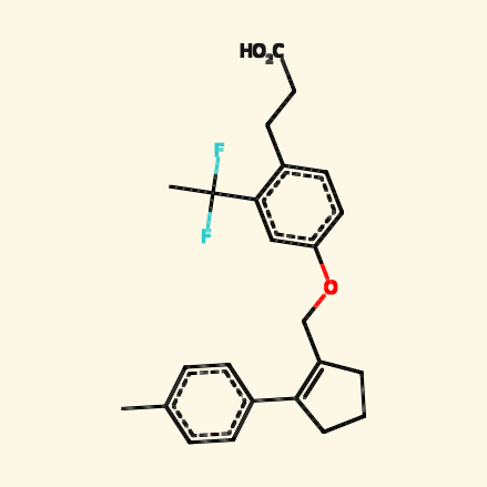 Cc1ccc(C2=C(COc3ccc(CCC(=O)O)c(C(C)(F)F)c3)CCC2)cc1